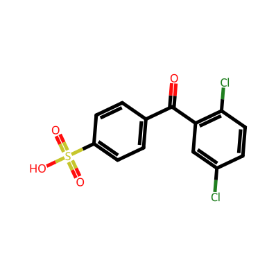 O=C(c1ccc(S(=O)(=O)O)cc1)c1cc(Cl)ccc1Cl